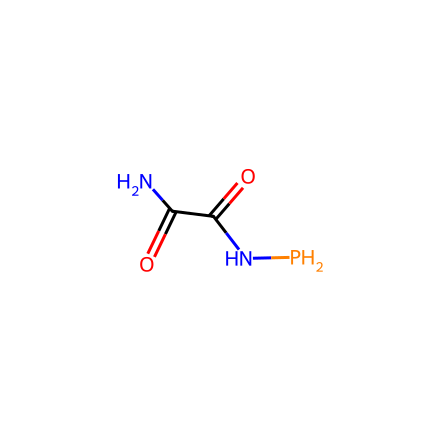 NC(=O)C(=O)NP